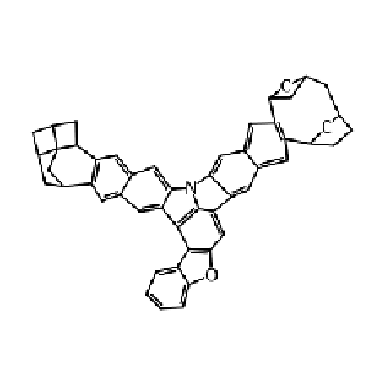 c1ccc2c(c1)oc1cc3c4cc5cc6c(cc5cc4n4c5cc7cc8c(cc7cc5c(c12)c34)C1CC2CC3CC8C23C1)C1CC(CC2CCC6C2)C1